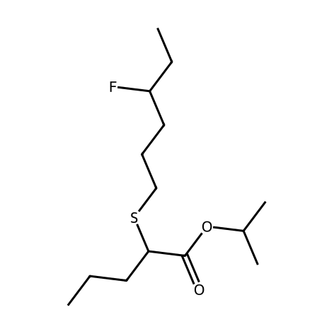 CCCC(SCCCC(F)CC)C(=O)OC(C)C